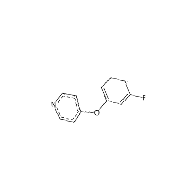 FC1=CC(Oc2ccncc2)=CC[CH]1